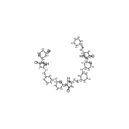 O=c1cc(CSc2cccc(Cc3cccc(-n4[nH]c(CSc5cccc(Cc6ccnc(-n7[nH]c(CSc8ccccc8)cc7=O)c6)c5)cc4=O)n3)c2)[nH]n1-c1cc(Br)ccn1